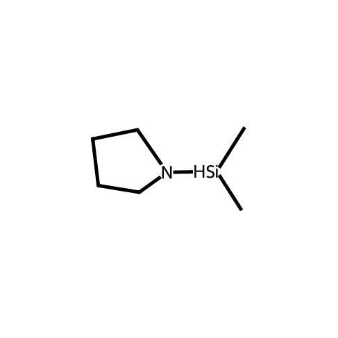 C[SiH](C)N1CCCC1